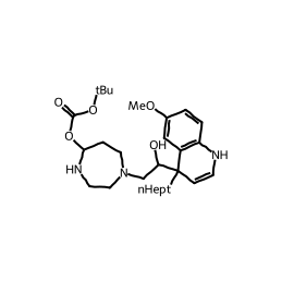 CCCCCCCC1(C(O)CN2CCNC(OC(=O)OC(C)(C)C)CC2)C=CNc2ccc(OC)cc21